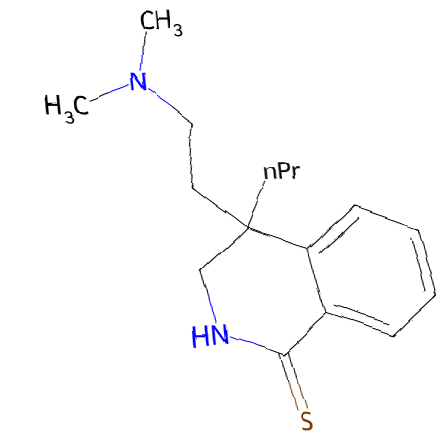 CCCC1(CCN(C)C)CNC(=S)c2ccccc21